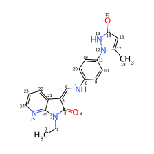 CCN1C(=O)C(=CNc2ccc(-n3[nH]c(=O)cc3C)cc2)c2cccnc21